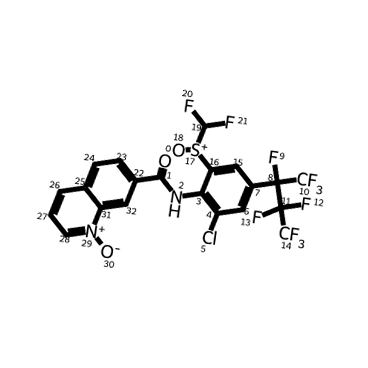 O=C(Nc1c(Cl)cc(C(F)(C(F)(F)F)C(F)(F)C(F)(F)F)cc1[S+]([O-])C(F)F)c1ccc2ccc[n+]([O-])c2c1